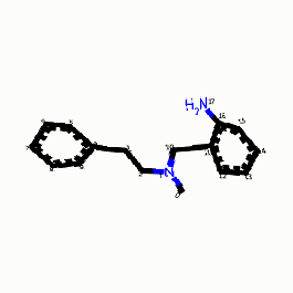 CN(C[CH]c1ccccc1)Cc1ccccc1N